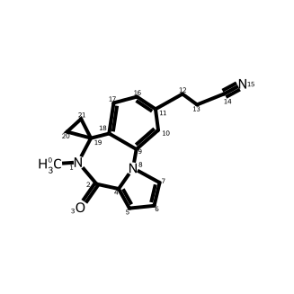 CN1C(=O)c2cccn2-c2cc(CCC#N)ccc2C12CC2